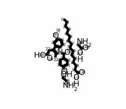 CCCCCCCCCCCCCCCC(=O)O.COc1ccc2c(c1)c(CC(=O)O)c(C)n2C(=O)c1ccc(Cl)cc1.NCC(=O)O.NCCO